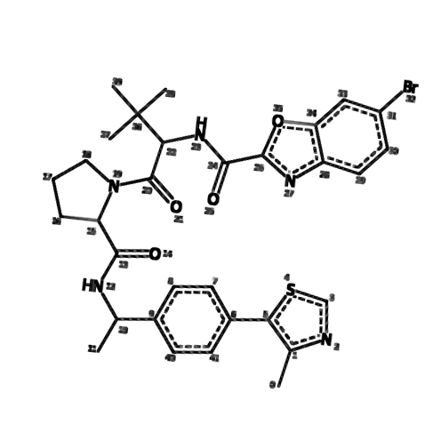 Cc1ncsc1-c1ccc(C(C)NC(=O)C2CCCN2C(=O)C(NC(=O)c2nc3ccc(Br)cc3o2)C(C)(C)C)cc1